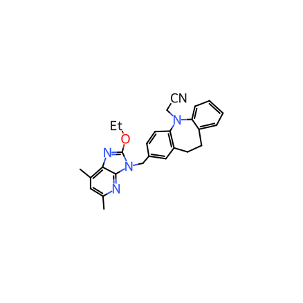 CCOc1nc2c(C)cc(C)nc2n1Cc1ccc2c(c1)CCc1ccccc1N2CC#N